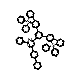 c1ccc(-c2ccc(-c3cc(-c4cc(-c5ccc6c(c5)[Si](c5ccccc5)(c5ccccc5)c5ccccc5-6)cc(-c5ccc6c(c5)[Si](c5ccccc5)(c5ccccc5)c5ccccc5-6)c4)nc(-c4ccccc4)n3)cc2)cc1